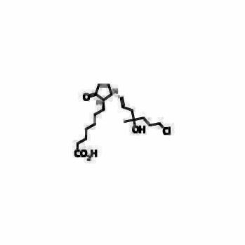 CC(O)(CC=C[C@H]1C=CC(=O)[C@@H]1CCCCCCC(=O)O)CCCCl